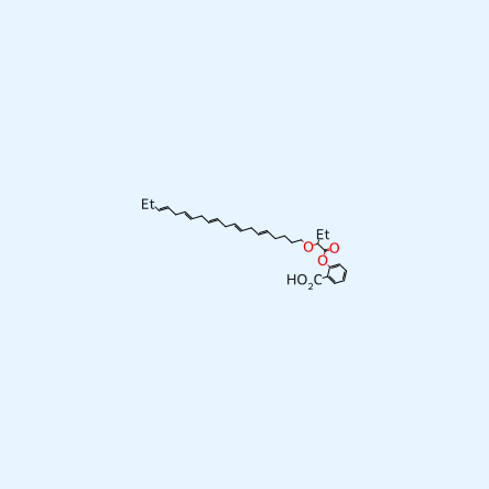 CCC=CCC=CCC=CCC=CCC=CCCCCOC(CC)C(=O)Oc1ccccc1C(=O)O